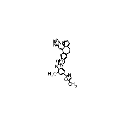 CCCc1nc2c(C)cc(-c3ncc(C)o3)cc2n1Cc1ccc2c(c1)CCc1ccccc1C2=Cc1nnn[nH]1